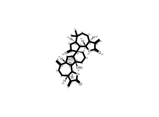 C=C1C(=O)O[C@@H]2[C@@H]3[C@@H](C[C@@]4(OC(C)=O)[C@]3(OC(C)=O)CCC[C@]43C(=O)C[C@@H]4C3[C@H]3OC(=O)C(=C)[C@@H]3CCC4(C)C)C(=C)CC[C@@H]12